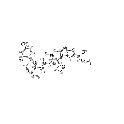 COC(=O)C1=CC2C(N=C3CN4CCN(c5cccc6c5O[C@@H](c5ccc(Cl)cc5F)CO6)C[C@@H]4C([C@@H]4CCO4)N32)S1